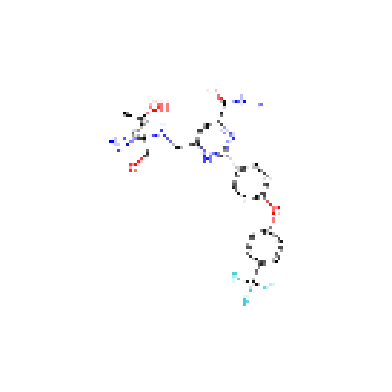 C[C@@H](O)[C@@](N)(C=O)NCc1cc(C(N)=O)nc(-c2ccc(Oc3ccc(C(F)(F)F)cc3)cc2)n1